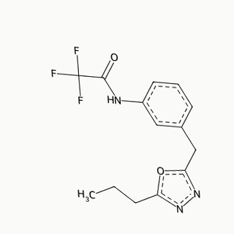 CCCc1nnc(Cc2cccc(NC(=O)C(F)(F)F)c2)o1